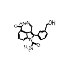 NC(=O)n1c(-c2cccc(CO)c2)c2c3c(c[c]cc31)C(=O)NN=C2